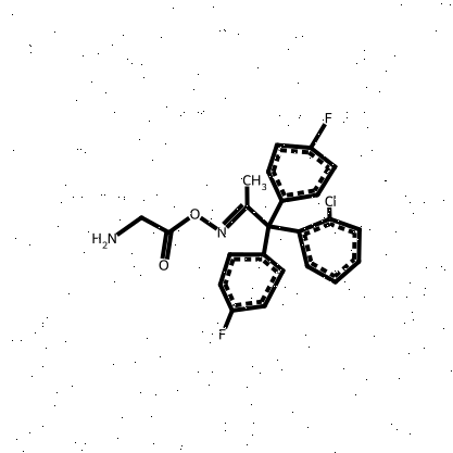 CC(=NOC(=O)CN)C(c1ccc(F)cc1)(c1ccc(F)cc1)c1ccccc1Cl